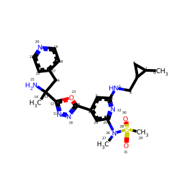 CC1CC1CNc1cc(-c2nnc(C(C)(N)Cc3ccncc3)o2)cc(N(C)S(C)(=O)=O)n1